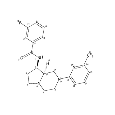 O=C(N[C@@H]1CCN2CCN(c3cccc(C(F)(F)F)n3)C[C@H]12)c1cccc(F)c1